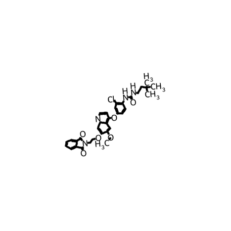 COc1cc2c(Oc3ccc(NC(=O)NCCC(C)(C)C)c(Cl)c3)ccnc2cc1OCCN1C(=O)c2ccccc2C1=O